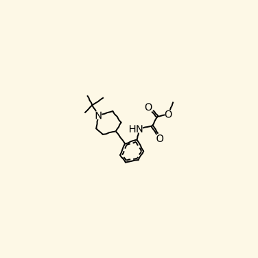 COC(=O)C(=O)Nc1ccccc1C1CCN(C(C)(C)C)CC1